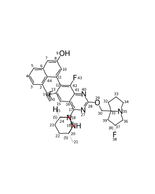 C#Cc1cccc2cc(O)cc(-c3c(F)cc4c(N5C[C@]6(C)CC[C@H]5CN6)nc(OCC56CCCN5C[C@H](F)C6)nc4c3F)c12